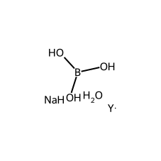 O.OB(O)O.[NaH].[Y]